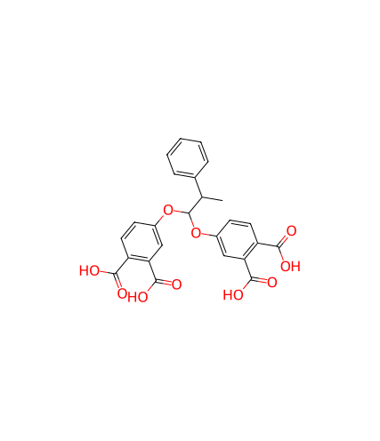 CC(c1ccccc1)C(Oc1ccc(C(=O)O)c(C(=O)O)c1)Oc1ccc(C(=O)O)c(C(=O)O)c1